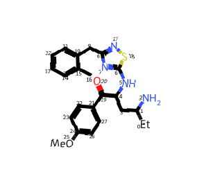 CCC(N)CC(Nc1nc(Cc2ccccc2C)ns1)C(=O)c1ccc(OC)cc1